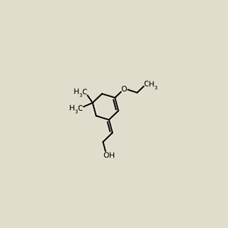 CCOC1=C/C(=C/CO)CC(C)(C)C1